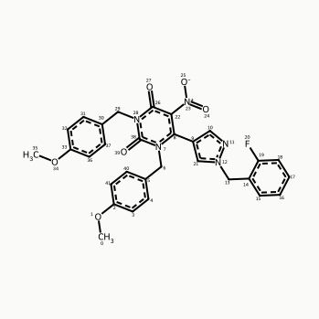 COc1ccc(Cn2c(-c3cnn(Cc4ccccc4F)c3)c([N+](=O)[O-])c(=O)n(Cc3ccc(OC)cc3)c2=O)cc1